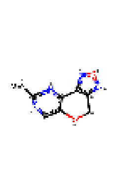 CNc1ncc2c(n1)-c1nonc1CO2